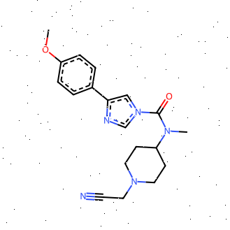 COc1ccc(-c2cn(C(=O)N(C)C3CCN(CC#N)CC3)cn2)cc1